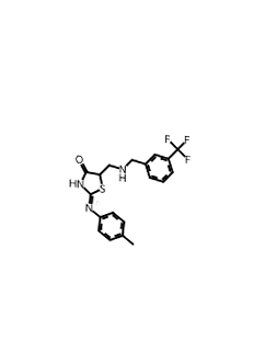 Cc1ccc(/N=C2/NC(=O)C(CNCc3cccc(C(F)(F)F)c3)S2)cc1